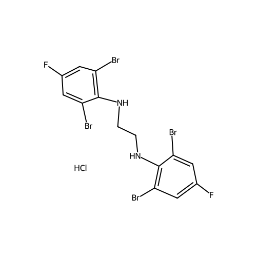 Cl.Fc1cc(Br)c(NCCNc2c(Br)cc(F)cc2Br)c(Br)c1